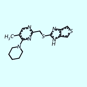 Cc1cnc(CSc2nc3cscc3[nH]2)nc1N1CCCCC1